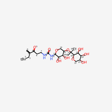 C=C(CC(C)(C)C)C(=O)CCNC(=O)NC1OCC(OC(C)(CC)C2OCC(O)C(O)C2O)C(O)C1O